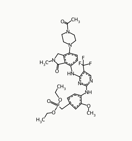 CCOP(=O)(Cc1ccc(Nc2ncc(C(F)(F)F)c(Nc3ccc(N4CCN(C(C)=O)CC4)c4c3C(=O)N(C)C4)n2)c(OC)c1)OCC